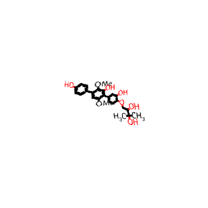 COc1cc(-c2ccc(O)cc2)c(OC)c(O)c1-c1ccc(OCC(O)C(C)(C)O)c(O)c1